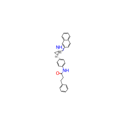 N[C@@]1(Cc2ccc3ccccc3c2)C[C@H]1c1ccc(NC(=O)CCc2ccccc2)cc1